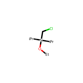 CCO[Si](CCl)(C(C)C)C(C)C